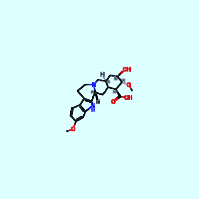 COc1ccc2c3c([nH]c2c1)[C@H]1CC2[C@H](C[C@@H](O)[C@H](OC)[C@H]2C(=O)O)CN1CC3